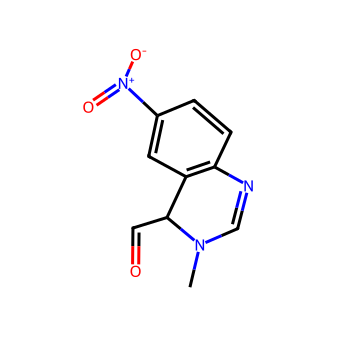 CN1C=Nc2ccc([N+](=O)[O-])cc2C1C=O